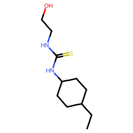 CCC1CCC(NC(=S)NCCO)CC1